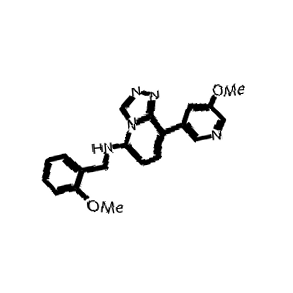 COc1cncc(-c2ccc(NCc3ccccc3OC)n3cnnc23)c1